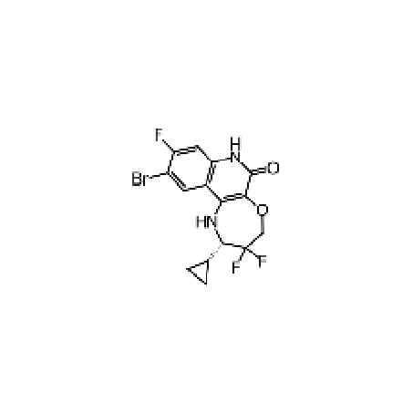 O=c1[nH]c2cc(F)c(Br)cc2c2c1OCC(F)(F)[C@H](C1CC1)N2